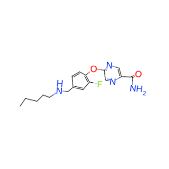 CCCCCNCc1ccc(Oc2cnc(C(N)=O)cn2)c(F)c1